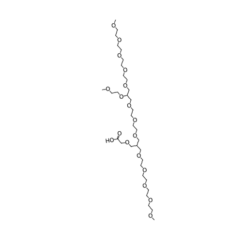 COCCOCCOCCOCCOCC(COCCOCCOCC(COCCOCCOCCOCCOC)OCCOC)COCC(=O)O